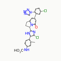 Cc1cc(NC(=O)O)ccc1-c1[nH]c(C2CCc3cc(-c4cc(Cl)ccc4-n4cnnn4)cc(=O)n32)nc1Cl